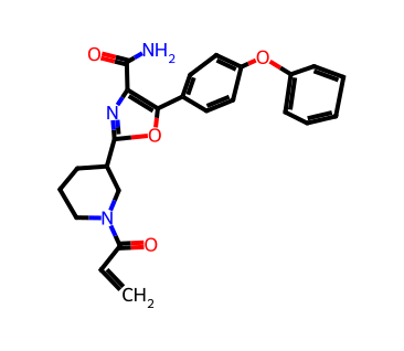 C=CC(=O)N1CCCC(c2nc(C(N)=O)c(-c3ccc(Oc4ccccc4)cc3)o2)C1